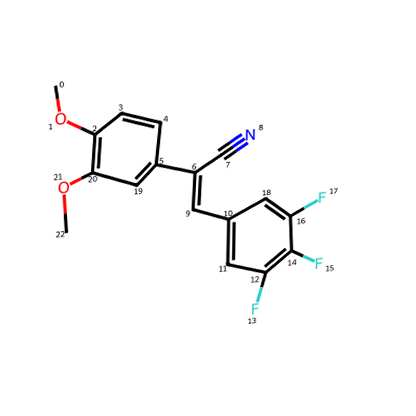 COc1ccc(C(C#N)=Cc2cc(F)c(F)c(F)c2)cc1OC